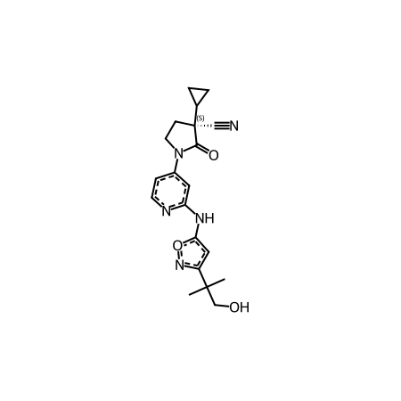 CC(C)(CO)c1cc(Nc2cc(N3CC[C@@](C#N)(C4CC4)C3=O)ccn2)on1